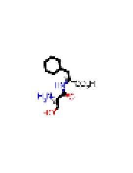 N[C@@H](CO)C(=O)N[C@@H](CC1CCCCC1)C(=O)O